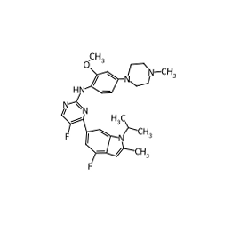 COc1cc(N2CCN(C)CC2)ccc1Nc1ncc(F)c(-c2cc(F)c3cc(C)n(C(C)C)c3c2)n1